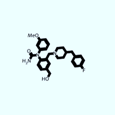 COc1cccc(N(C(N)=O)c2ccc(CO)cc2CN2CCC(Cc3ccc(F)cc3)CC2)c1